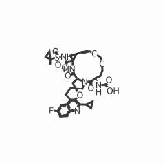 CC1(S(=O)(=O)NC(=O)C23CC2/C=C\CCCCC[C@H](NC(=O)O)C(=O)N2C[C@@]4(CCc5c(c(C6CC6)nc6ccc(F)cc56)O4)CC2C(=O)N3)CC1